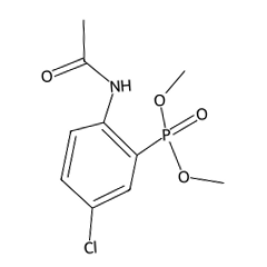 COP(=O)(OC)c1cc(Cl)ccc1NC(C)=O